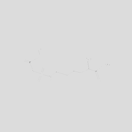 COC(=O)C(N)CCCCNS(=O)(=O)NC(=O)OC(C)(C)C